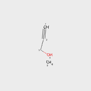 C.C#CCO